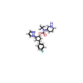 CC(C)(C)N(C(=O)OC1CC(c2ccc(F)cc2)CC1n1cccn1)C1CCCNC1